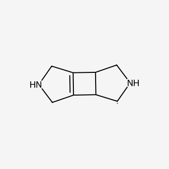 [CH]1NCC2C3=C(CNC3)C12